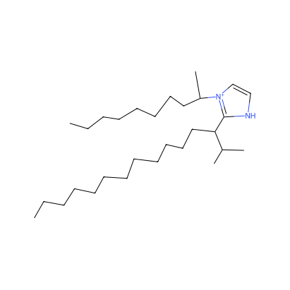 CCCCCCCCCCCCC(c1[nH]cc[n+]1C(C)CCCCCCCC)C(C)C